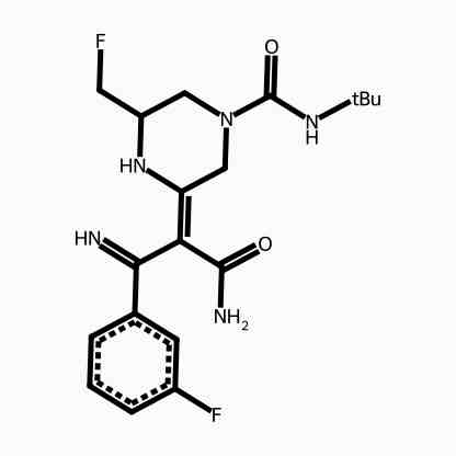 CC(C)(C)NC(=O)N1C/C(=C(/C(=N)c2cccc(F)c2)C(N)=O)NC(CF)C1